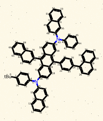 CC(C)(C)c1ccc(N(c2ccc3ccccc3c2)c2ccc3c(-c4ccc(-c5cccc6ccccc56)cc4)c4cc(N(c5ccccc5)c5ccc6ccccc6c5)ccc4c(-c4ccc5ccccc5c4)c3c2)cc1